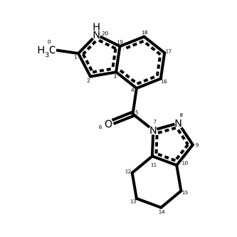 Cc1cc2c(C(=O)n3ncc4c3CCCC4)cccc2[nH]1